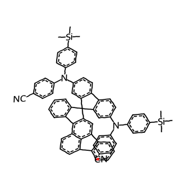 C[Si](C)(C)c1ccc(N(c2ccc(C#N)cc2)c2ccc3c(c2)C2(c4cc(N(c5ccc(C#N)cc5)c5ccc([Si](C)(C)C)cc5)ccc4-3)c3ccccc3-c3c2cc2c4c(cccc34)-c3ccccc3-2)cc1